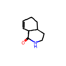 O=C1NCCC2CCC=CC12